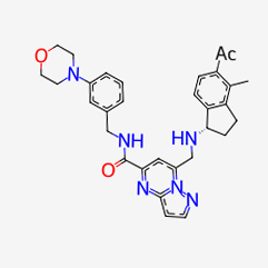 CC(=O)c1ccc2c(c1C)CC[C@@H]2NCc1cc(C(=O)NCc2cccc(N3CCOCC3)c2)nc2ccnn12